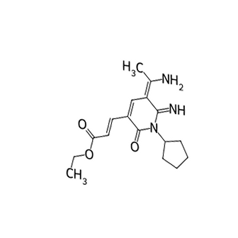 CCOC(=O)/C=C/C1=CC(=C(\C)N)/C(=N)N(C2CCCC2)C1=O